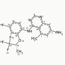 Cc1cc(N)cc2ncnc(Nc3ccc(F)cc3O[C@H](C)C(F)(F)F)c12